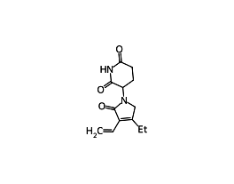 C=CC1=C(CC)CN(C2CCC(=O)NC2=O)C1=O